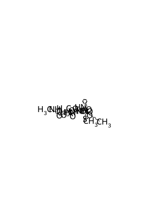 CCCCCCOC(=O)C(CCSC)NC(=O)C(Cc1ccccc1)NC(=O)CNC(=O)CNC(=O)C(Cc1ccc(OC(=O)CCCNC)cc1)NC(C)=O